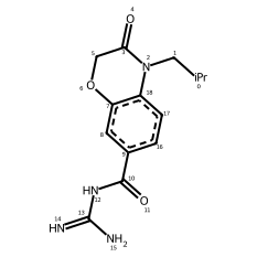 CC(C)CN1C(=O)COc2cc(C(=O)NC(=N)N)ccc21